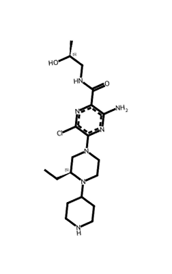 CC[C@H]1CN(c2nc(N)c(C(=O)NC[C@H](C)O)nc2Cl)CCN1C1CCNCC1